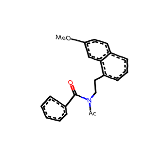 COc1ccc2cccc(CCN(C(C)=O)C(=O)c3ccccc3)c2c1